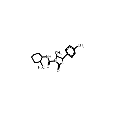 Cc1ccc(C2SC(=O)N(C(=O)NC3CCCCC3C)C2C)cc1